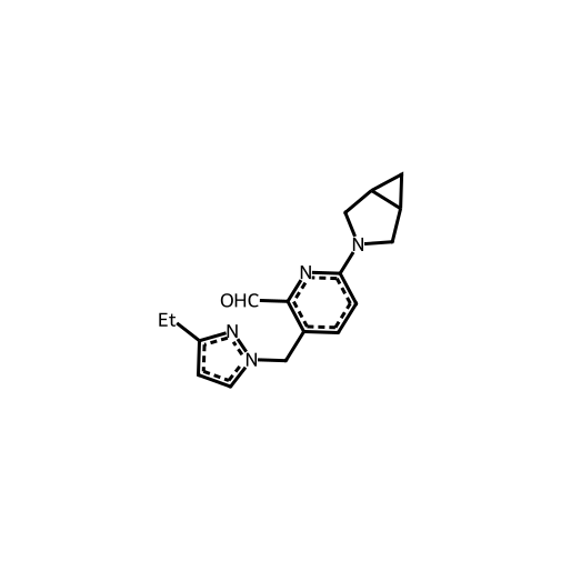 CCc1ccn(Cc2ccc(N3CC4CC4C3)nc2C=O)n1